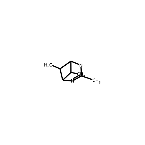 CC1=NC2C(C)C(N1)C2C